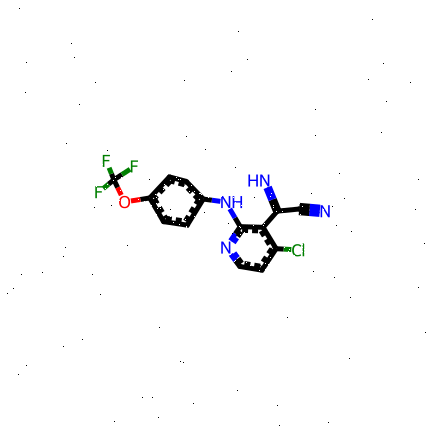 N#CC(=N)c1c(Cl)ccnc1Nc1ccc(OC(F)(F)F)cc1